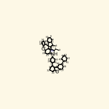 CC/C=C\C1=C(C)c2ccccc2C12c1ccccc1Oc1ccc(Nc3ccc(-c4cccc5oc6ccc(-c7ccccc7)cc6c45)cc3)cc12